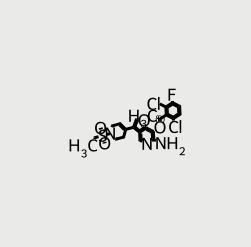 CCS(=O)(=O)N1CC=C(c2coc3c(O[C@H](C)c4c(Cl)ccc(F)c4Cl)c(N)ncc23)CC1